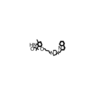 Cc1ccc(OCCCCN2CCN(Cc3ccc4ccccc4n3)CC2)c2c1NC(=O)C2(C)C